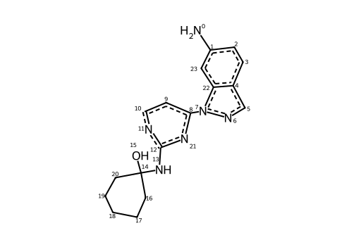 Nc1ccc2cnn(-c3ccnc(NC4(O)CCCCC4)n3)c2c1